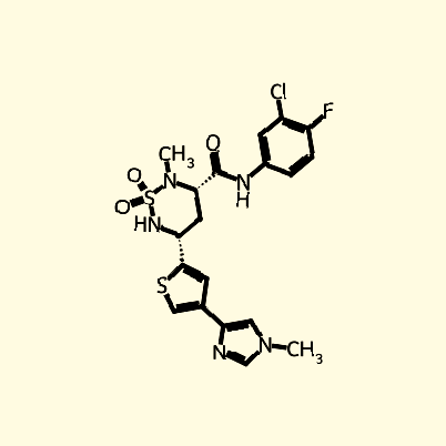 CN1[C@H](C(=O)Nc2ccc(F)c(Cl)c2)C[C@H](c2cc(-c3cn(C)cn3)cs2)NS1(=O)=O